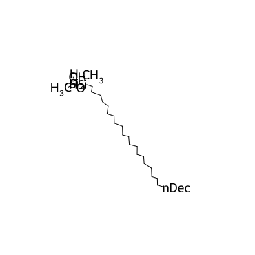 CCCCCCCCCCCCCCCCCCCCCCCCCCCCCC[SiH](C)O[SiH](C)O